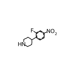 O=[N+]([O-])c1ccc(C2CCNCC2)c(F)c1